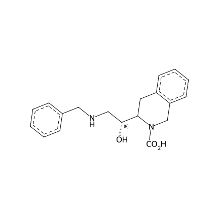 O=C(O)N1Cc2ccccc2CC1[C@H](O)CNCc1ccccc1